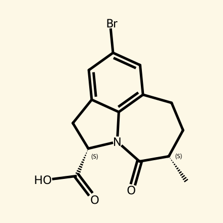 C[C@H]1CCc2cc(Br)cc3c2N(C1=O)[C@H](C(=O)O)C3